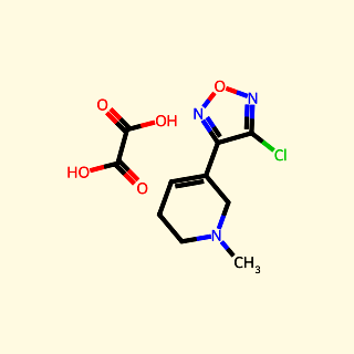 CN1CCC=C(c2nonc2Cl)C1.O=C(O)C(=O)O